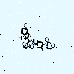 Cc1cc(C(=O)NC(c2nc3cc(Cl)ccc3[nH]2)c2ncco2)ccc1N1CCOCC1=O